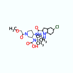 COCC(=O)N1CC[C@@H](NC(=O)c2cc3cc(Cl)ccc3[nH]2)[C@H](N(C(=O)O)C(C)(C)C)C1